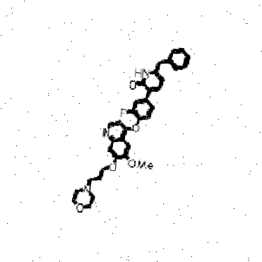 COc1cc2c(Oc3ccc(-c4ccc(Cc5ccccc5)[nH]c4=O)cc3F)ccnc2cc1OCCCN1CCOCC1